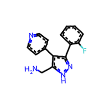 NCc1[nH]nc(-c2ccccc2F)c1-c1ccncc1